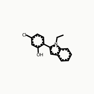 CCn1c(-c2ccc(Cl)cc2O)cc2ccccc21